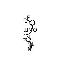 C[C@@H]1C[C@H](N=[N+]=[N-])CN1C(=O)CNC(=O)c1cccc(C(F)(F)F)c1